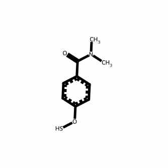 CN(C)C(=O)c1ccc(OS)cc1